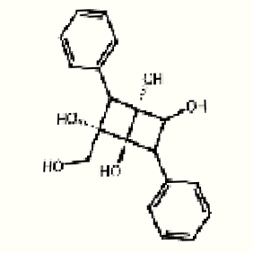 OC[C@@]1(O)C(c2ccccc2)[C@@]2(O)C(O)C(c3ccccc3)[C@@]21O